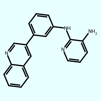 Nc1cccnc1Nc1cccc(-c2cnc3ccccc3c2)c1